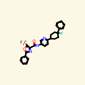 O=C(Nc1ccc(C2CCC(F)(c3ccccc3)CC2)nc1)c1nc(-c2ccccc2)oc1C(F)(F)F